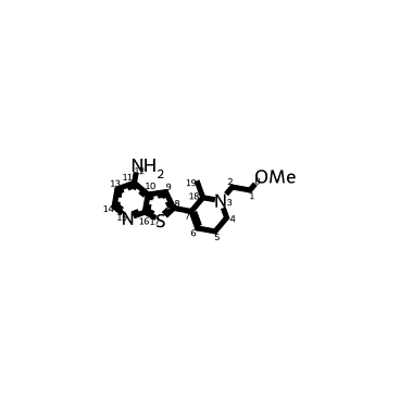 COCCN1CCC=C(c2cc3c(N)ccnc3s2)C1C